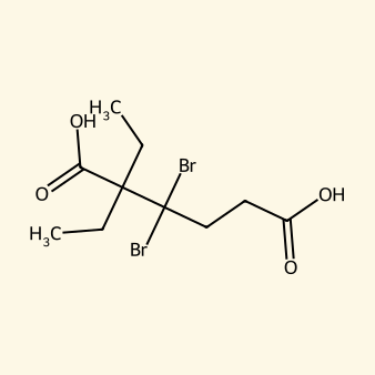 CCC(CC)(C(=O)O)C(Br)(Br)CCC(=O)O